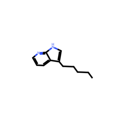 CCCCCc1c[nH]c2ncccc12